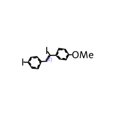 COc1ccc(/C(I)=C/c2ccc(I)cc2)cc1